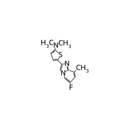 Cc1cc(F)cn2cc(-c3ccc(N(C)C)s3)nc12